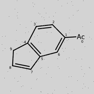 CC(=O)c1ccc2c(c1)C=CC2